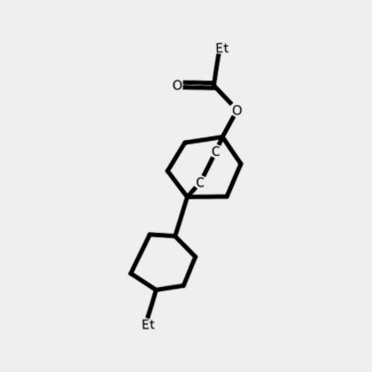 CCC(=O)OC12CCC(C3CCC(CC)CC3)(CC1)CC2